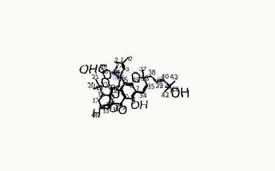 CC(C)=CCc1c2c(c(O)c3c1OC14C(=C[C@@H]5CC1C(C)(C)O[C@]4(C/C=C(/C)OC=O)C5=O)C3=O)C=CC(C)(C/C=C/C(C)(C)O)O2